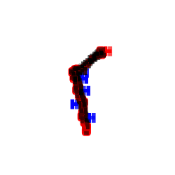 O=CCOCCOCCNC(=O)COCCOCCNC(=O)COCCOCCNC(=O)OCCOCCNC(=O)CC[C@H](NC(=O)CCCCCCCCCCCCCCCCCCC(=O)O)C(=O)O